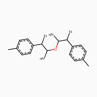 CCCC(OC(CCC)C(CC)c1ccc(C)cc1)C(CC)c1ccc(C)cc1